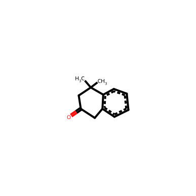 CC1(C)CC(=O)Cc2ccccc21